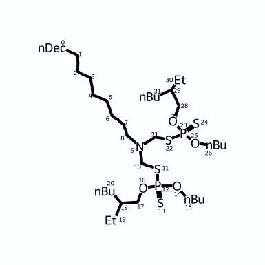 CCCCCCCCCCCCCCCCCCN(CSP(=S)(OCCCC)OCC(CC)CCCC)CSP(=S)(OCCCC)OCC(CC)CCCC